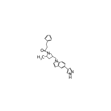 CC1CC(Cn2ccc3cc(-c4cn[nH]c4)ccc32)CN1C(=O)CCc1ccccc1